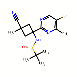 Cc1nc(C2(N[S@@+]([O-])C(C)(C)C)CC(C)(C#N)C2)ncc1Br